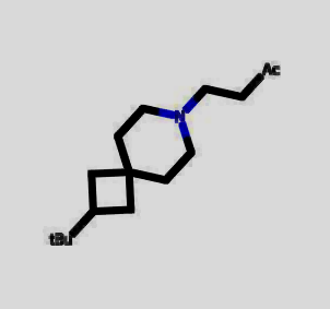 CC(=O)CCN1CCC2(CC1)CC(C(C)(C)C)C2